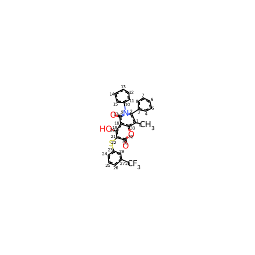 Cc1c(-c2ccccc2)n(-c2ccccc2)c(=O)c2c(O)c(Sc3cccc(C(F)(F)F)c3)c(=O)oc12